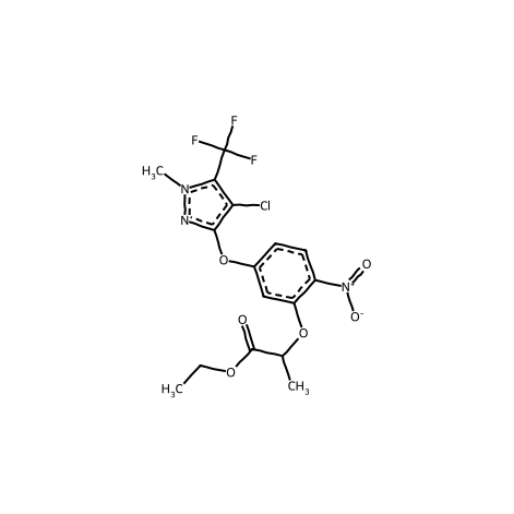 CCOC(=O)C(C)Oc1cc(Oc2nn(C)c(C(F)(F)F)c2Cl)ccc1[N+](=O)[O-]